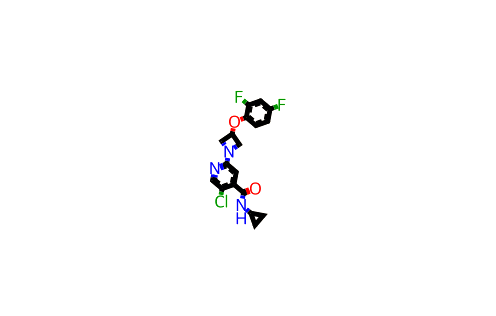 O=C(NC1CC1)c1cc(N2CC(Oc3ccc(F)cc3F)C2)ncc1Cl